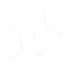 CCC(=O)O.CCC(Cl)Cl